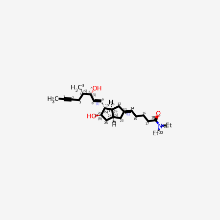 CC#CC[C@H](C)[C@H](O)/C=C/[C@@H]1[C@H]2C/C(=C/CCCC(=O)N(CC)CC)C[C@H]2C[C@H]1O